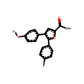 CCSc1ccc(-c2cc(C(=O)NC)sc2-c2ccc(F)cc2)cc1